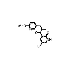 COc1ccc(CN(C)C(=O)c2cc(Br)c[nH]c2=O)cn1